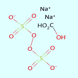 O=C(O)O.O=S(=O)([O-])OOS(=O)(=O)[O-].[Na+].[Na+]